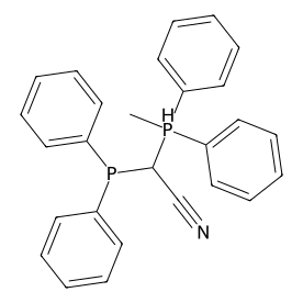 C[PH](c1ccccc1)(c1ccccc1)C(C#N)P(c1ccccc1)c1ccccc1